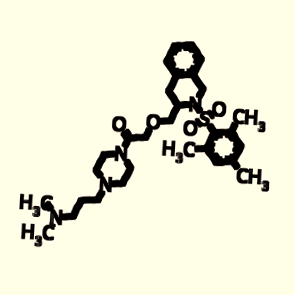 Cc1cc(C)c(S(=O)(=O)N2Cc3ccccc3CC2COCC(=O)N2CCN(CCCN(C)C)CC2)c(C)c1